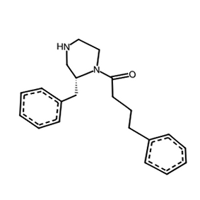 O=C(CCCc1ccccc1)N1CCNC[C@H]1Cc1ccccc1